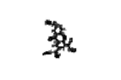 CCCCC(=O)c1cc(C(=O)CCCC)c2oc3ccc(C(=O)O)cc3c(=O)c2c1